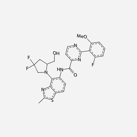 COc1cccc(F)c1-c1nccc(C(=O)Nc2ccc3sc(C)nc3c2N2CC(F)(F)CC2CO)n1